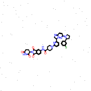 O=C1CCC(N2C(=O)c3ccc(NC(=O)C4CCN(c5cccc(C6CN=C7C=CC(N8CCCC8c8cccc(F)c8)=NN76)n5)CC4)cc3C2=O)C(=O)N1